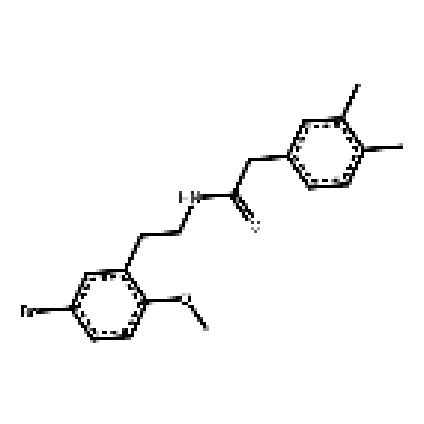 COc1ccc(Br)cc1CCNC(=O)Cc1ccc(C)c(C)c1